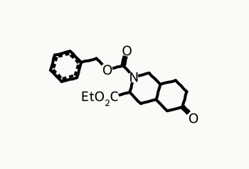 CCOC(=O)C1CC2CC(=O)CCC2CN1C(=O)OCc1ccccc1